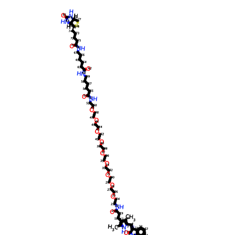 Cc1[nH]c(/C=C2\C(=O)Nc3ccccc32)c(C)c1CCC(=O)NCCOCCOCCOCCOCCOCCOCCOCCOCCOCCNC(=O)CCCCCNC(=O)CCCCCNC(=O)CCCC[C@@H]1SC[C@@H]2NC(=O)N[C@@H]21